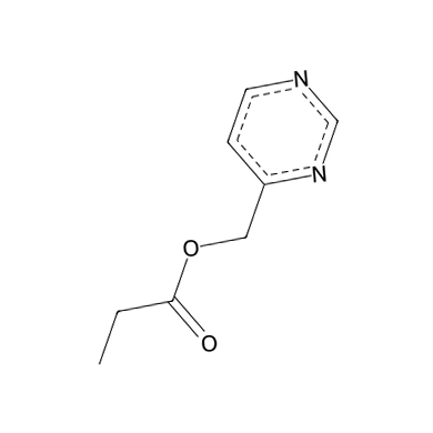 CCC(=O)OCc1ccncn1